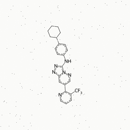 FC(F)(F)c1cccnc1-c1cnn2c(Nc3ccc(C4CCCCC4)cc3)nnc2c1